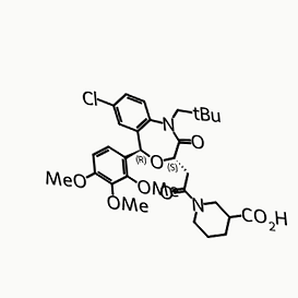 COc1ccc([C@@H]2O[C@@H](CC(=O)N3CCCC(C(=O)O)C3)C(=O)N(CC(C)(C)C)c3ccc(Cl)cc32)c(OC)c1OC